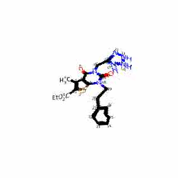 CCOC(=O)c1sc2c(c1C)c(=O)n(CC1=NNNN1)c(=O)n2CCc1ccccc1